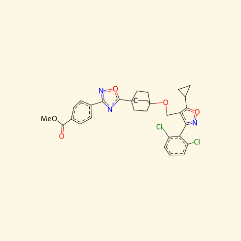 COC(=O)c1ccc(-c2noc(C34CCC(OCc5c(-c6c(Cl)cccc6Cl)noc5C5CC5)(CC3)CC4)n2)cc1